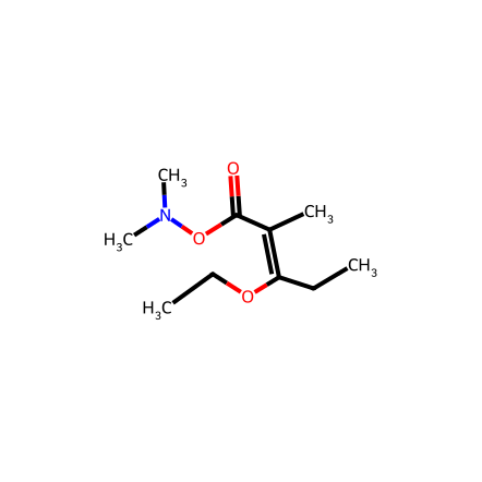 CCOC(CC)=C(C)C(=O)ON(C)C